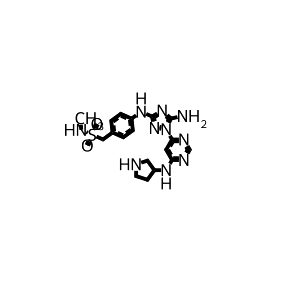 CNS(=O)(=O)Cc1ccc(Nc2nc(N)n(-c3cc(NC4CCNC4)ncn3)n2)cc1